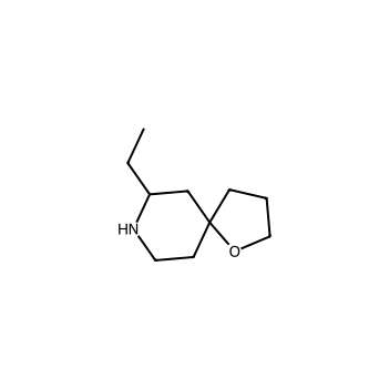 CCC1CC2(CCCO2)CCN1